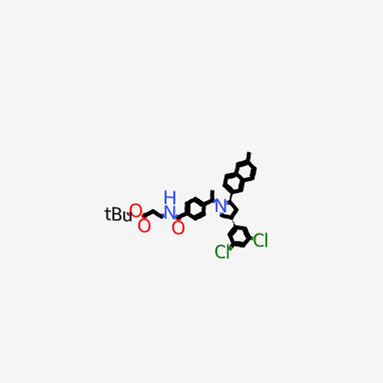 Cc1ccc2cc([C@H]3C[C@H](c4cc(Cl)cc(Cl)c4)CN3C(C)c3ccc(C(=O)NCCC(=O)OC(C)(C)C)cc3)ccc2c1